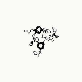 Cc1ccc([N+](=O)[O-])cc1O[N+](=O)Oc1cc([N+](=O)[O-])ccc1C.N=C(N)N